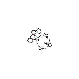 CC1=C(C)c2nc1c(C)c1ccc(cc3nc(cc4c(-c5ccccc5)c(-c5ccccc5)c(c2-c2ccccc2)n4-c2ccccc2)C=C3)[nH]1